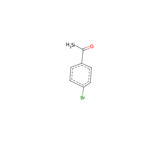 O=C([SiH3])c1ccc(Br)cc1